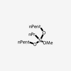 CCCCCO[Si](CCC)(OC)OCCCCC